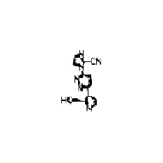 C#CC1=NC=CC1c1ccc(-n2ccnc2C#N)nn1